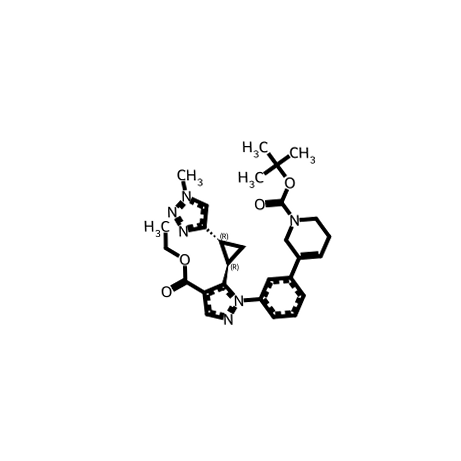 CCOC(=O)c1cnn(-c2cccc(C3=CCCN(C(=O)OC(C)(C)C)C3)c2)c1[C@@H]1C[C@H]1c1cn(C)nn1